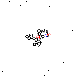 CCc1cc2c3c(c4c(c2cc1-c1ccc2ccccc2c1)-c1ccccc1C41CC(C)(C)CC(C)(C)C1)C=CC(c1ccc(OC)cc1)(c1ccc(N2CCOCC2)cc1)O3